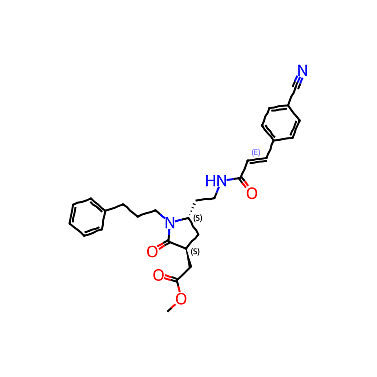 COC(=O)C[C@@H]1C[C@@H](CCNC(=O)/C=C/c2ccc(C#N)cc2)N(CCCc2ccccc2)C1=O